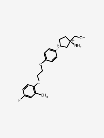 Cc1cc(F)ccc1OCCOc1ccc([C@@H]2CC[C@](N)(CO)C2)cc1